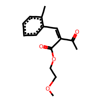 COCCOC(=O)C(=Cc1ccccc1C)C(C)=O